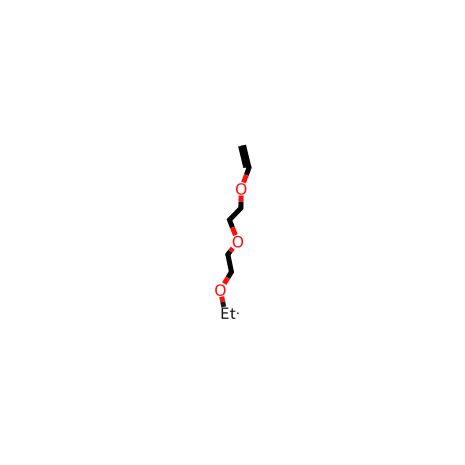 C=COCCOCCO[CH]C